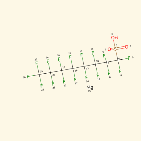 O=S(=O)(O)C(F)(F)C(F)(F)C(F)(F)C(F)(F)C(F)(F)C(F)(F)C(F)(F)C(F)(F)F.[Hg]